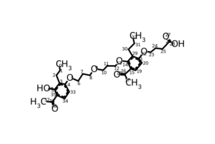 CCCc1c(OCCCOCCCOc2c(C(C)=O)ccc(OCCCC(=O)O)c2CCC)ccc(C(C)=O)c1O